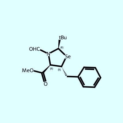 COC(=O)[C@@H]1[C@@H](Cc2ccccc2)[Se][C@H](C(C)(C)C)N1C=O